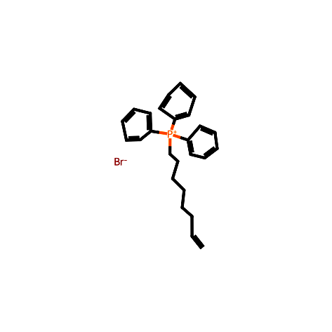 C=CCCCCCC[P+](c1ccccc1)(c1ccccc1)c1ccccc1.[Br-]